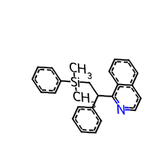 C[Si](C)(CC(c1ccccc1)c1nccc2ccccc12)c1ccccc1